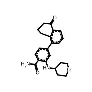 NC(=O)c1ccc(-c2cccc3c2CCCC3=O)cc1NC1CCOCC1